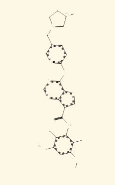 COc1cc(OC)c(Cl)c(NC(=O)c2csc3c(Nc4ccc(CN5CC[C@@H](O)C5)cn4)ncnc23)c1Cl